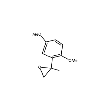 COc1ccc(OC)c(C2(C)CO2)c1